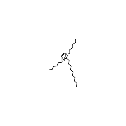 CCCCCCCCCCc1n(CCCCCC)cc[n+]1CCCCCC